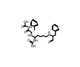 O=CC(Cc1ccccc1)NCCCCC(NC(=O)O)N[C@@H](Cc1ccccc1)C(=O)NC(=O)O